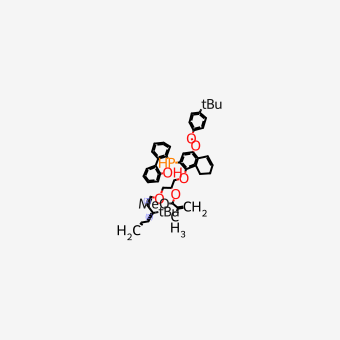 C=C/C=C(\C=C/OCC(COc1c(Pc2ccccc2-c2ccccc2O)cc(OOc2ccc(C(C)(C)C)cc2)c2c1CCC=C2)OC(OC)C(=C)C)C(C)(C)C